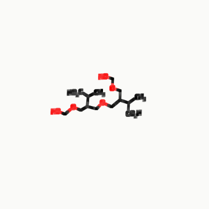 CC(C(=O)O)C(COCO)COCC(COCO)C(C)C(=O)O